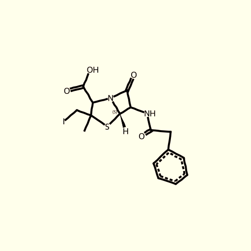 CC1(CI)S[C@H]2C(NC(=O)Cc3ccccc3)C(=O)N2C1C(=O)O